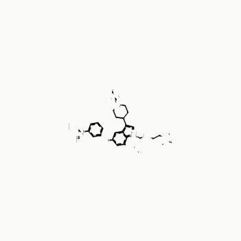 CCN(CC)c1cccc(Oc2cc(C#N)c3c(c2)c(C2CCN(S(=O)(=O)CC)CC2)cn3COCC[Si](C)(C)C)c1